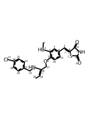 CBc1cc(/C=C2\SC(=O)NC2=O)ccc1OC/C(=C/C)NCc1ccc(Cl)cc1